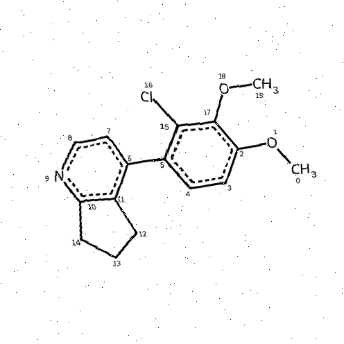 COc1ccc(-c2ccnc3c2CCC3)c(Cl)c1OC